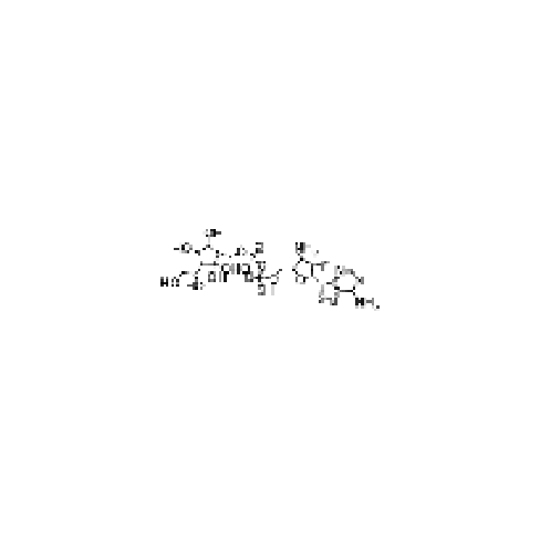 C[C@@]1(F)[C@H](N)[C@@H](COP(=O)(S)OP(=O)(O)OC2OC3(O)C2C(O)C(O)C3[C@@H](O)CO)O[C@H]1c1snc2c(N)ncnc12